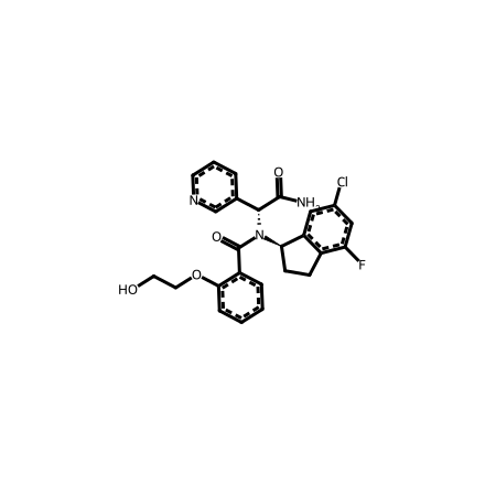 NC(=O)[C@@H](c1cccnc1)N(C(=O)c1ccccc1OCCO)[C@@H]1CCc2c(F)cc(Cl)cc21